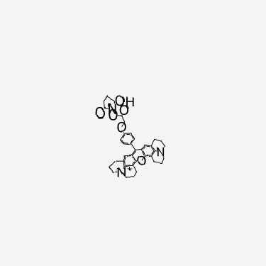 O=C(COc1ccc(C2=c3cc4c5c(c3Oc3c2cc2c6c3CCCN6CCC2)CCC[N+]=5CCC4)cc1)ON1C(=O)CCC1O